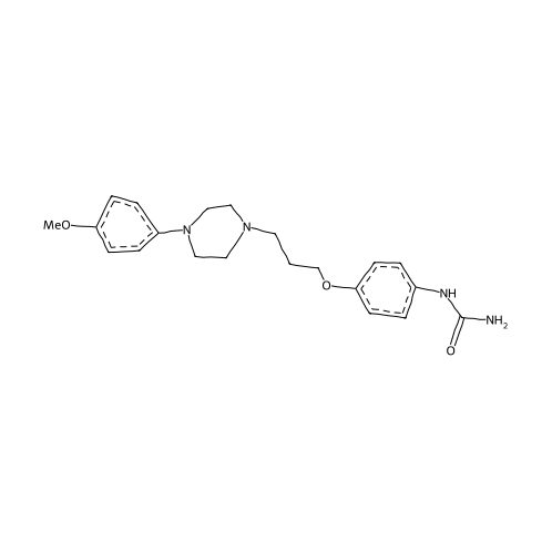 COc1ccc(N2CCN(CCCOc3ccc(NC(N)=O)cc3)CC2)cc1